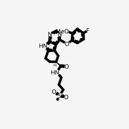 COc1cc(F)ccc1Oc1ncnc2[nH]c3c(c12)C[C@@H](C(=O)NCCCS(C)(=O)=O)CC3